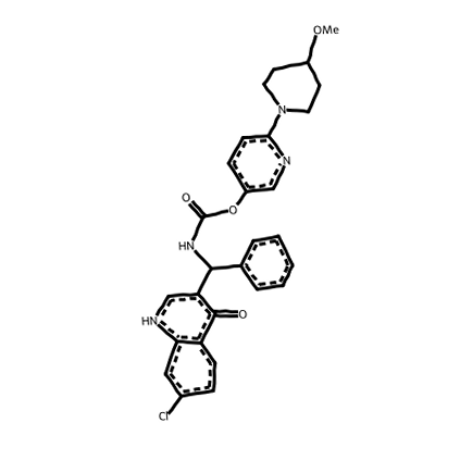 COC1CCN(c2ccc(OC(=O)NC(c3ccccc3)c3c[nH]c4cc(Cl)ccc4c3=O)cn2)CC1